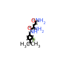 CC(C)c1ccc(CNC(=O)[C@@H](N)CCC(N)=O)cc1F